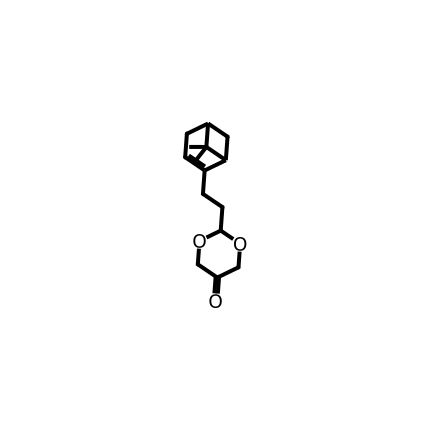 CC1(C)C2CC=C(CCC3OCC(=O)CO3)C1C2